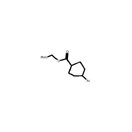 COCOC(=O)C1CCC(C(C)=O)CC1